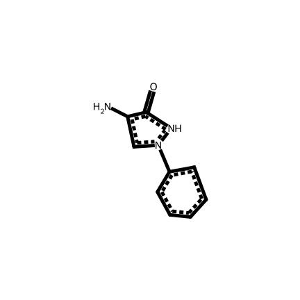 Nc1cn(-c2ccccc2)[nH]c1=O